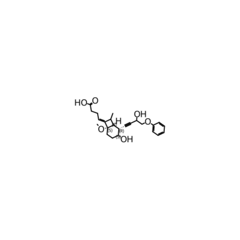 CO[C@@]12CC[C@H](O)[C@@H](C#CC(O)COc3ccccc3)[C@@H]1C(C)C2=CCCC(=O)O